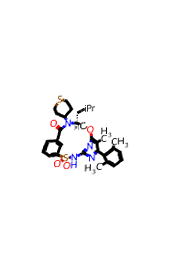 Cc1cccc(C)c1-c1nc2nc(c1C)OC[C@@H](CC(C)C)N(C1CCSCC1)C(=O)c1cccc(c1)S(=O)(=O)N2